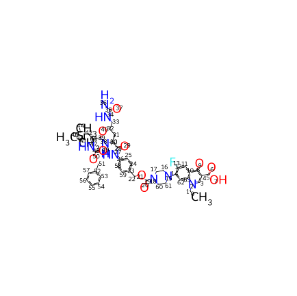 CCn1cc(C(=O)O)c(=O)c2cc(F)c(N3CCN(C(=O)OCc4ccc(NC(=O)[C@H](CCCNC(N)=O)NC(=O)[C@H](C[Si](C)(C)C)NC(=O)OCc5ccccc5)cc4)CC3)cc21